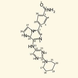 NC(=O)c1ccc(-c2cnc(Nc3cnc(N4CCCCC4)nc3)c3nccn23)cc1